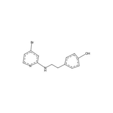 Oc1ccc(CCNc2cc(Br)ccn2)cc1